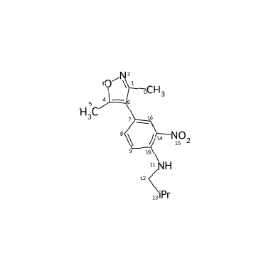 Cc1noc(C)c1-c1ccc(NCC(C)C)c([N+](=O)[O-])c1